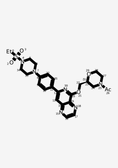 CCS(=O)(=O)N1CCN(c2ccc(-c3cc4nccnc4c(OC[C@@H]4CN(C(C)=O)CCO4)n3)cc2)CC1